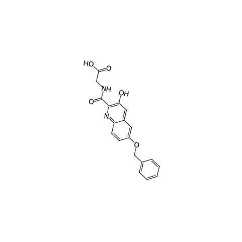 O=C(O)CNC(=O)c1nc2ccc(OCc3ccccc3)cc2cc1O